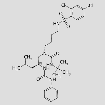 CC(C)C[C@@H](CN(CCCCNS(=O)(=O)c1ccc(Cl)cc1Cl)C(=O)NC(C)(C)C)NC(=O)Nc1ccccc1